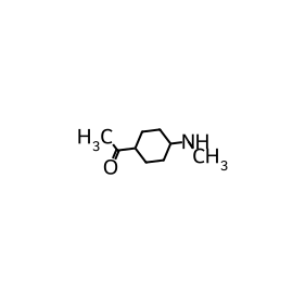 CNC1CCC(C(C)=O)CC1